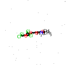 CC(C)(C)ON=CCCOCCCCOc1c(Cl)cc(OCC=C(Cl)Cl)cc1Cl